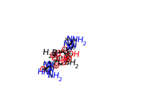 B[P@]1(=O)OCC2OC(n3cnc4c(=O)[nH]c(N)nc43)C(O[P@@](B)(=O)OCC3OC(n4cnc5c(N)ncnc54)C(O)C3O1)C2O